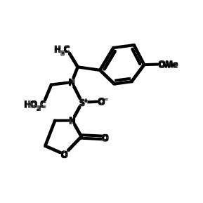 COc1ccc(C(C)N(CC(=O)O)[S+]([O-])N2CCOC2=O)cc1